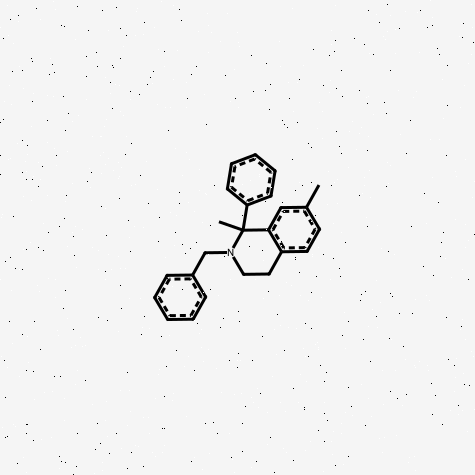 Cc1ccc2c(c1)C(C)(c1ccccc1)N(Cc1ccccc1)CC2